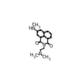 CNc1cc2c3c(cccc3c1)C(=O)N(CCN(C)C)C2=O